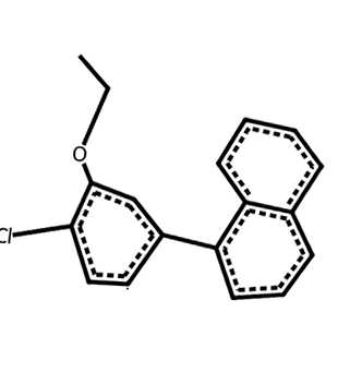 CCOc1cc(-c2cccc3ccccc23)[c]cc1Cl